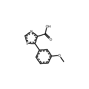 COc1cccc(-c2scnc2C(=O)O)c1